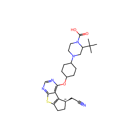 CC(C)(C)C1CN(C2CCC(Oc3ncnc4sc5c(c34)[C@@H](CC#N)CC5)CC2)CCN1C(=O)O